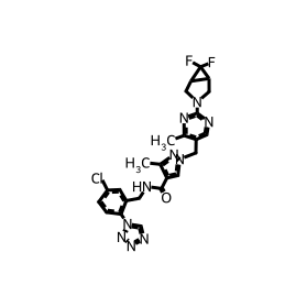 Cc1nc(N2CC3C(C2)C3(F)F)ncc1Cn1cc(C(=O)NCc2cc(Cl)ccc2-n2cnnn2)c(C)n1